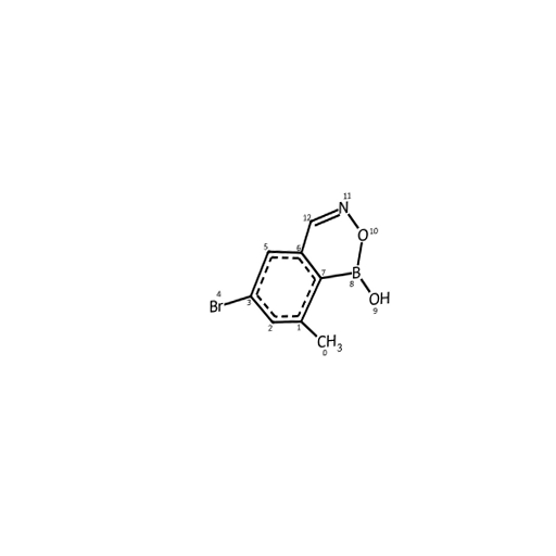 Cc1cc(Br)cc2c1B(O)ON=C2